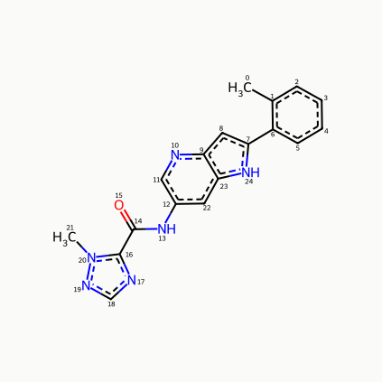 Cc1ccccc1-c1cc2ncc(NC(=O)c3ncnn3C)cc2[nH]1